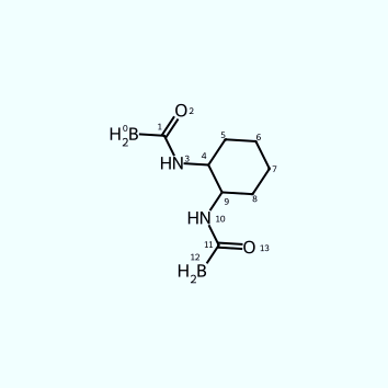 BC(=O)NC1CCCCC1NC(B)=O